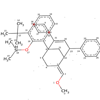 COC=C1CCC2(c3cccc(C(C)(C)C)c3O[SiH](C)C)CC1C(c1ccccc1)C=C2c1ccccc1